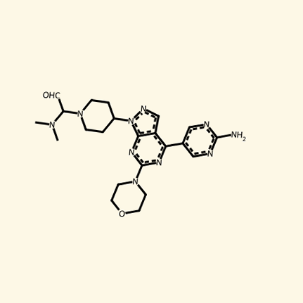 CN(C)C(C=O)N1CCC(n2ncc3c(-c4cnc(N)nc4)nc(N4CCOCC4)nc32)CC1